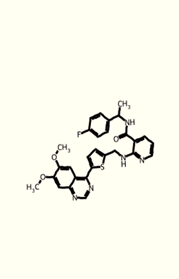 COc1cc2ncnc(-c3ccc(CNc4ncccc4C(=O)NC(C)c4ccc(F)cc4)s3)c2cc1OC